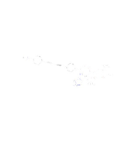 CC(CO)(CO)COC(=O)[C@@H](NC(=O)c1ccc(C#CC#Cc2ccc(N)cc2)cc1)C(C)(O)c1c[nH]nn1